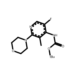 Cc1c(N2CCOCC2)ncc(F)c1NC(=O)OC(C)(C)C